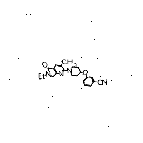 CCN1Cc2nc(N3CCC(Oc4cccc(C#N)c4)CC3)c(C)cc2C1=O